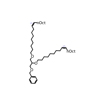 CCCCCCCC/C=C\CCCCCCCCOCC(COCc1ccccc1)OCCCCCCCC/C=C\CCCCCCCC